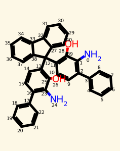 Nc1c(-c2ccccc2)ccc(C2(c3ccc(-c4ccccc4)c(N)c3O)c3ccccc3-c3ccccc32)c1O